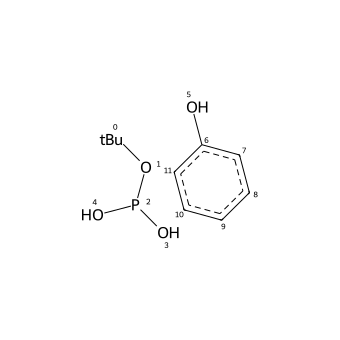 CC(C)(C)OP(O)O.Oc1ccccc1